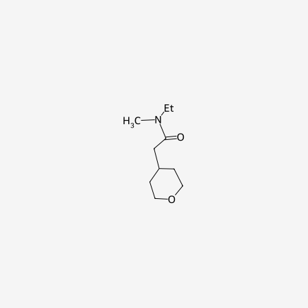 CCN(C)C(=O)CC1CCOCC1